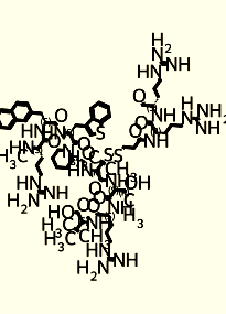 CN[C@@H](CCCNC(=N)N)C(=O)N[C@@H](Cc1ccc2ccccc2c1)C(=O)N[C@@H](Cc1csc2ccccc12)C(=O)N1CCCC[C@H]1C(=O)N[C@H](C(=O)N[C@H](C(=O)N[C@@H](CCCNC(=N)N)C(=O)N[C@H](C(=O)O)C(C)(C)C)[C@@H](C)O)C(C)(C)SSCCC(=O)N[C@H](CCCNC(=N)N)C(=O)N[C@H](C=O)CCCNC(=N)N